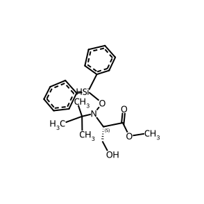 COC(=O)[C@H](CO)N(O[SiH](c1ccccc1)c1ccccc1)C(C)(C)C